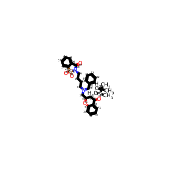 CC(C)(C)[Si](C)(C)OC1CC(CN(CCCCN2C(=O)c3ccccc3S2(=O)=O)Cc2ccccc2)Oc2ccccc21